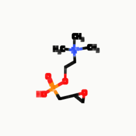 C[N+](C)(C)CCOP(=O)(O)CC1CO1